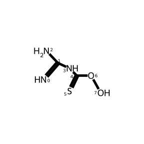 N=C(N)NC(=S)OO